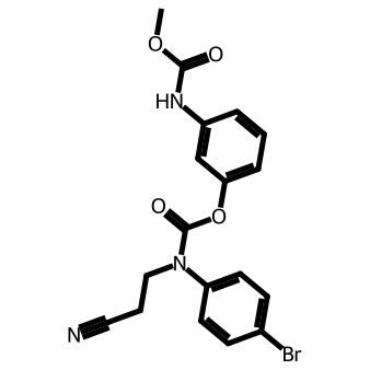 COC(=O)Nc1cccc(OC(=O)N(CCC#N)c2ccc(Br)cc2)c1